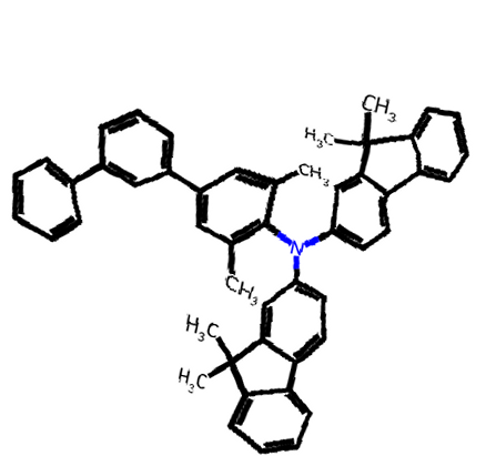 Cc1cc(-c2cccc(-c3ccccc3)c2)cc(C)c1N(c1ccc2c(c1)C(C)(C)c1ccccc1-2)c1ccc2c(c1)C(C)(C)c1ccccc1-2